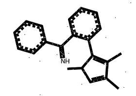 CC1=CC(C)C(c2ccccc2C(=N)c2ccccc2)=C1C